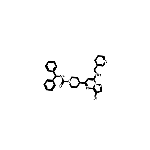 O=C(NC(c1ccccc1)c1ccccc1)N1CCC(c2cc(NCC3=CN=CCC3)n3ncc(Br)c3n2)CC1